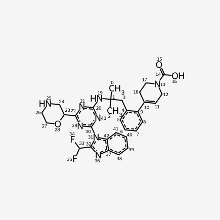 CC(C)(Cc1ccccc1C1=CCN(C(=O)O)CC1)Nc1nc(C2CNCCO2)nc(-n2c(C(F)F)nc3ccccc32)n1